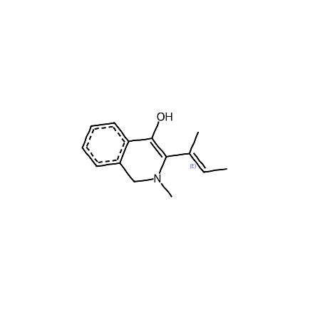 C/C=C(\C)C1=C(O)c2ccccc2CN1C